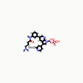 COc1cc(-c2cn(COP(=O)(O)O)c3ncc(-c4cccc(N(C)C(=O)C=CCN(C)C)c4)cc23)ccn1